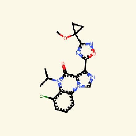 COC1(c2noc(-c3ncn4c3c(=O)n(C(C)C)c3c(Cl)cccc34)n2)CC1